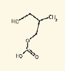 CC(CO)COS(=O)O